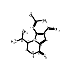 C=Cc1cc2n(c1/N=C(\N)Cl)C(C(C)C)CNC2=O